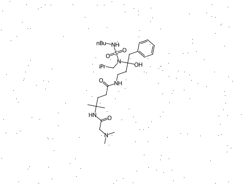 CCCCNS(=O)(=O)N(CC(C)C)C(O)(CCNC(=O)CCC(C)(C)NC(=O)CN(C)C)Cc1ccccc1